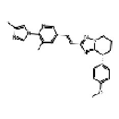 COc1ccc([C@H]2CCCn3nc(/C=C/c4cnc(-n5cnc(C)c5)c(C)c4)nc32)cc1